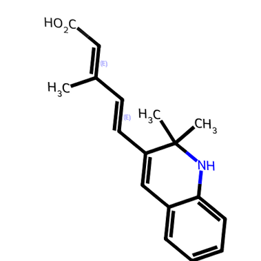 CC(/C=C/C1=Cc2ccccc2NC1(C)C)=C\C(=O)O